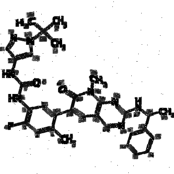 Cc1cc(F)c(NC(=O)Nc2cnn(C(C)(C)C)c2)cc1-c1cc2cnc(NC(C)c3ccccc3)nc2n(C)c1=O